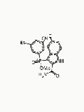 CCc1cc(C#N)cc([P@@](=O)(OC)c2c(C(N)=O)[nH]c3ccc(Cl)cc23)c1